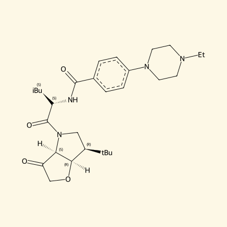 CC[C@H](C)[C@H](NC(=O)c1ccc(N2CCN(CC)CC2)cc1)C(=O)N1C[C@@H](C(C)(C)C)[C@H]2OCC(=O)[C@H]21